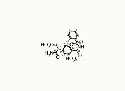 Cc1ccccc1S(=O)(=O)NC(CC(=O)O)c1ccc(C(CC(=O)O)C(N)=O)cc1